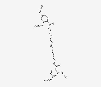 O=C=Nc1ccc(C(=O)OCCOCCOCCOCCOC(=O)c2ccc(N=C=O)cc2N=C=O)c(N=C=O)c1